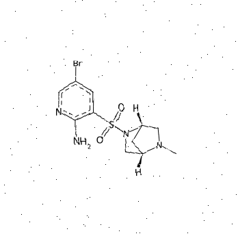 CN1C[C@@H]2C[C@H]1CN2S(=O)(=O)c1cc(Br)cnc1N